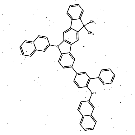 CC1(C)c2ccccc2-c2cc3c(cc21)c1cc(-c2ccc(Nc4ccc5ccccc5c4)c(-c4ccccc4)c2)ccc1n3-c1ccc2ccccc2c1